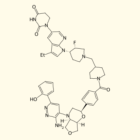 CCc1cn([C@H]2CCN(CC3CCN(C(=O)c4ccc([C@@H]5CN(c6cc(-c7ccccc7O)nnc6N)[C@@H]6COC[C@@H]6O5)cc4)CC3)C[C@H]2F)c2ncc(N3CCC(=O)NC3=O)cc12